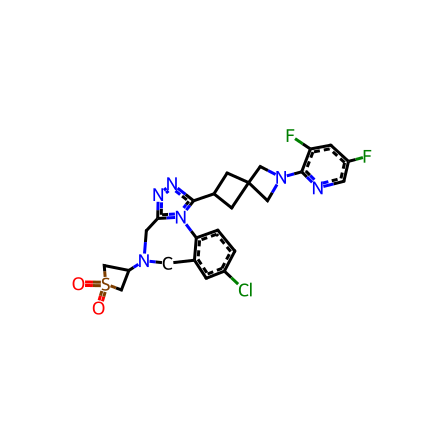 O=S1(=O)CC(N2Cc3cc(Cl)ccc3-n3c(nnc3C3CC4(C3)CN(c3ncc(F)cc3F)C4)C2)C1